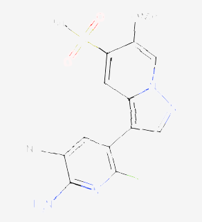 COc1cn2ncc(-c3cc(C#N)c(N)nc3F)c2cc1S(=O)(=O)C(C)(C)C